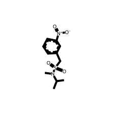 CC(C)N(C)S(=O)(=O)Cc1cccc([N+](=O)[O-])c1